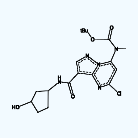 CN(C(=O)OC(C)(C)C)c1cc(Cl)nc2c(C(=O)NC3CCC(O)C3)cnn12